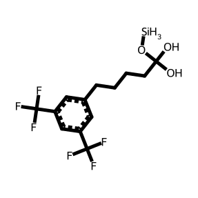 OC(O)(CCCCc1cc(C(F)(F)F)cc(C(F)(F)F)c1)O[SiH3]